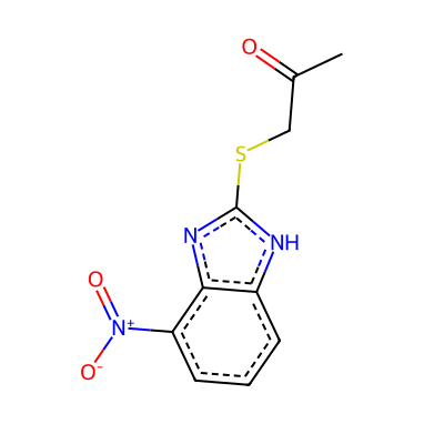 CC(=O)CSc1nc2c([N+](=O)[O-])cccc2[nH]1